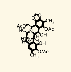 COc1c(C)cc2c(c1O)[C@H]1[C@H]3[C@H](O)c4c(OC(C)=O)c(C)c5c(c4[C@H](COC(C)=O)N3[C@@H](C#N)[C@H](C2)N1C)OCO5